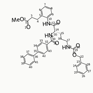 COC(=O)CCc1ccccc1NC(=O)[C@H](CCCNC(=O)OCc1ccccc1)NC(=O)c1ccc(-c2ccccc2)cc1